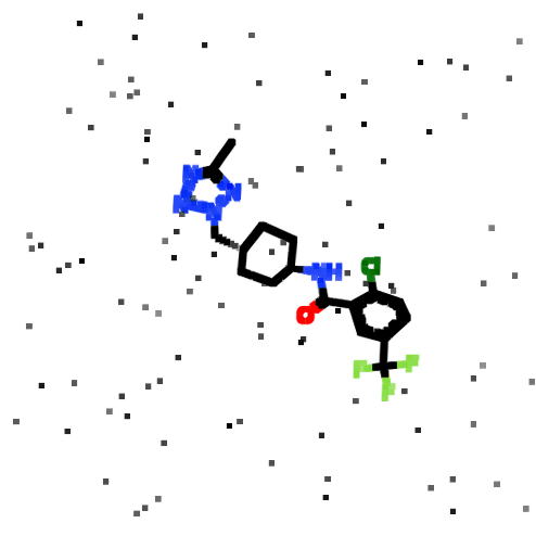 Cc1nnn(C[C@H]2CC[C@H](NC(=O)c3cc(C(F)(F)F)ccc3Cl)CC2)n1